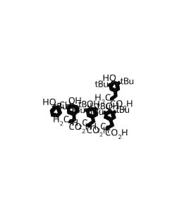 C=C(Cc1cc(C(C)(C)C)c(O)c(C(C)(C)C)c1)C(=O)O.C=C(Cc1cc(C(C)(C)C)c(O)c(C(C)(C)C)c1)C(=O)O.C=C(Cc1cc(C(C)(C)C)c(O)c(C(C)(C)C)c1)C(=O)O.C=C(Cc1cc(C(C)(C)C)c(O)c(C(C)(C)C)c1)C(=O)O.Cc1ccccc1O